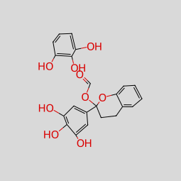 O=COC1(c2cc(O)c(O)c(O)c2)CCc2ccccc2O1.Oc1cccc(O)c1O